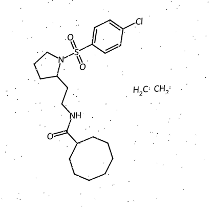 O=C(NCCC1CCCN1S(=O)(=O)c1ccc(Cl)cc1)[C]1CCCCCCC1.[CH2].[CH2]